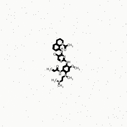 C=CC(=O)Nc1cc(Nc2ncc(Cl)c(Nc3cccc4c3N(C(C)=O)CCC4)n2)c(OC)cc1N(C)CCN(C)C